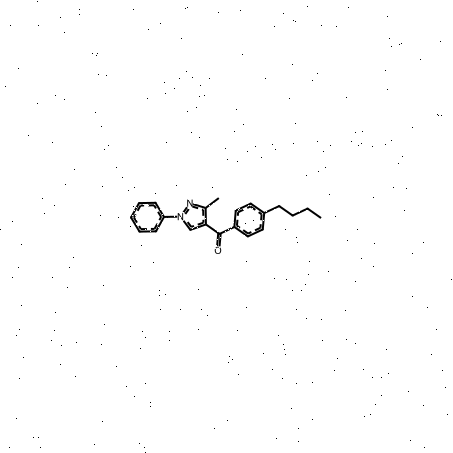 CCCCc1ccc(C(=O)c2cn(-c3ccccc3)nc2C)cc1